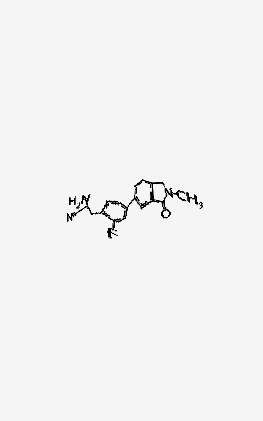 CN1Cc2ccc(-c3ccc(C[C@H](N)C#N)c(F)c3)cc2C1=O